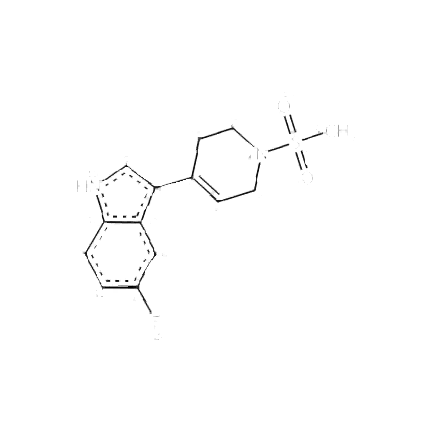 CS(=O)(=O)N1CC=C(c2c[nH]c3ccc(F)cc23)CC1